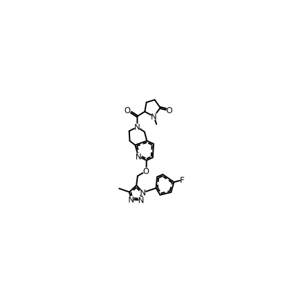 Cc1nnn(-c2ccc(F)cc2)c1COc1ccc2c(n1)CCN(C(=O)C1CCC(=O)N1C)C2